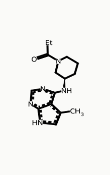 CCC(=O)N1CCC[C@@H](Nc2ncnc3[nH]cc(C)c23)C1